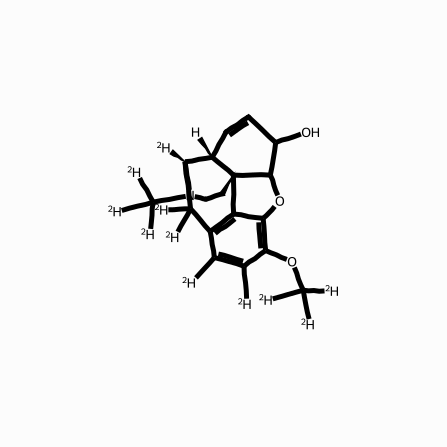 [2H]c1c([2H])c2c3c(c1OC([2H])([2H])[2H])OC1C(O)C=C[C@@H]4[C@@]31CCN(C([2H])([2H])[2H])[C@]4([2H])C2([2H])[2H]